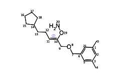 Cc1cc(C)cc(COC/C(=C/CCC2CCCC2)ON)c1